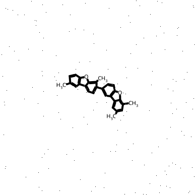 Cc1ccc2oc3c(C)c(-c4ccc5oc6c(C)cc(C)cc6c5c4)ccc3c2c1